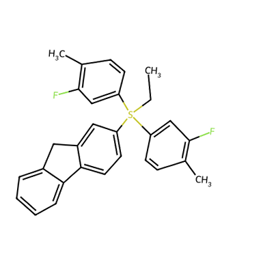 CCS(c1ccc(C)c(F)c1)(c1ccc(C)c(F)c1)c1ccc2c(c1)Cc1ccccc1-2